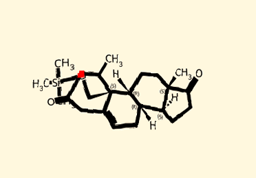 CC1CC(=O)CC2=CC[C@@H]3[C@@H](CC[C@]4(C)C(=O)CC[C@@H]34)[C@]21CO[Si](C)(C)C